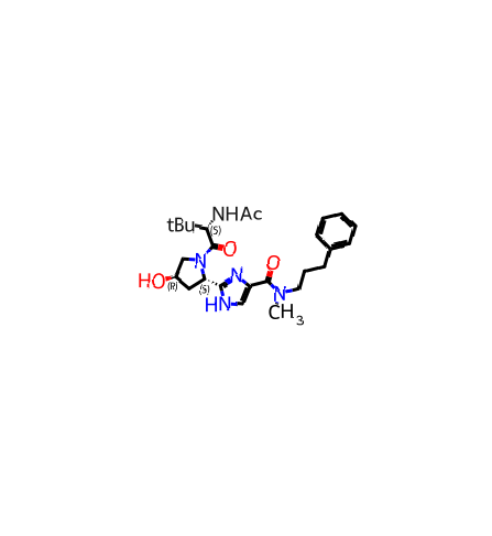 CC(=O)N[C@H](C(=O)N1C[C@H](O)C[C@H]1c1nc(C(=O)N(C)CCCc2ccccc2)c[nH]1)C(C)(C)C